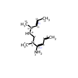 C=C/C=C(/N)N(C)CNN(C)/C=C/C